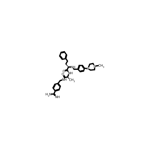 C[C@H](NC(=O)[C@@H](CCc1ccccc1)NCc1ccc(N2CCN(C)CC2)cc1)C(=O)NCc1ccc(C(=N)N)cc1